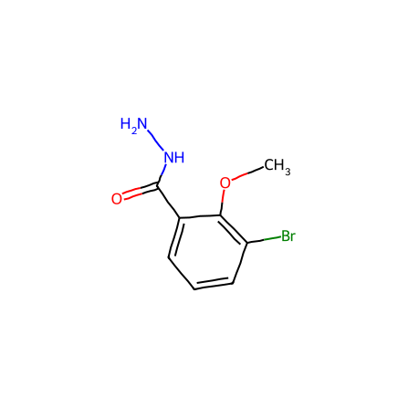 COc1c(Br)cccc1C(=O)NN